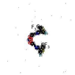 O=C(/C=C\C(=O)OC1CCC(CCN2CCC(=C3c4ccc(F)cc4Sc4ccc(C(F)(F)F)cc43)CC2)CC1)OC1CCC(CCN2CCC(=C3c4ccc(F)cc4Sc4ccc(C(F)(F)F)cc43)CC2)CC1